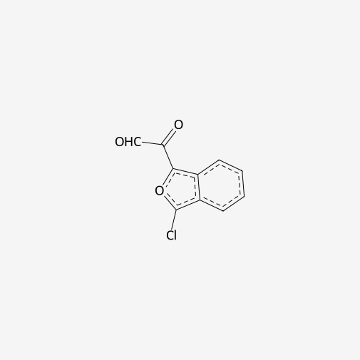 O=CC(=O)c1oc(Cl)c2ccccc12